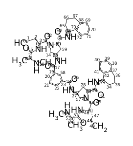 C#CC[C@H](NC(=O)[C@H](C)NC)C(=O)N1C[C@@H](NC(=O)c2cccc(C(=O)N[C@H]3C[C@@H](C(=O)N[C@@H]4CCCc5ccccc54)N(C(=O)[C@H](CC=C)NC(=O)[C@H](C)NC)C3)c2)C[C@H]1C(=O)N[C@@H]1CCCc2ccccc21